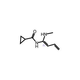 C=C/C=C(\NC)NC(=O)C1CC1